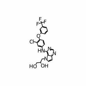 OCC(O)Cn1ccc2ncnc(Nc3ccc(Oc4cccc(C(F)(F)F)c4)c(Cl)c3)c21